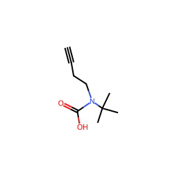 C#CCCN(C(=O)O)C(C)(C)C